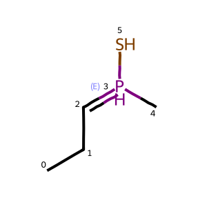 CC/C=[PH](\C)S